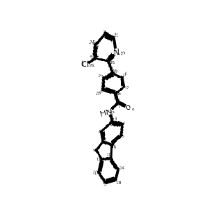 O=C(Nc1ccc2c(c1)Cc1ccccc1-2)c1ccc(-c2ncccc2Cl)cc1